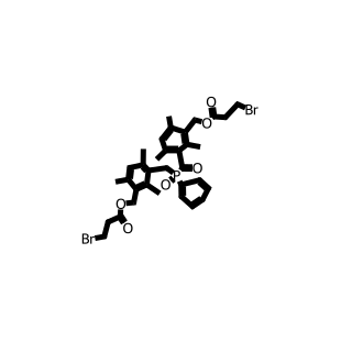 Cc1cc(C)c(CP(=O)(C(=O)c2c(C)cc(C)c(COC(=O)CCBr)c2C)c2ccccc2)c(C)c1COC(=O)CCBr